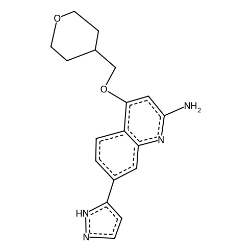 Nc1cc(OCC2CCOCC2)c2ccc(-c3ccn[nH]3)cc2n1